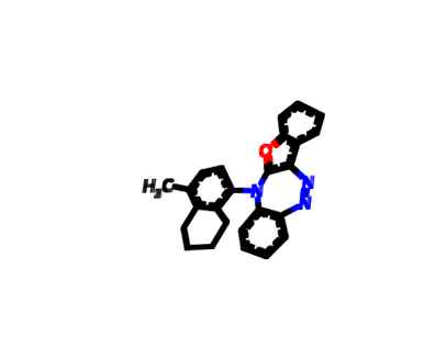 Cc1ccc(N2c3ccccc3N=Nc3c2oc2ccccc32)c2c1CCCC2